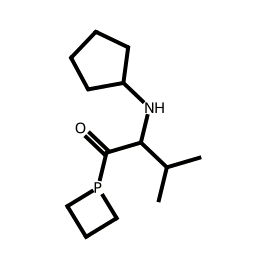 CC(C)C(NC1CCCC1)C(=O)P1CCC1